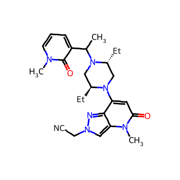 CC[C@H]1CN(C(C)c2cccn(C)c2=O)[C@H](CC)CN1c1cc(=O)n(C)c2cn(CC#N)nc12